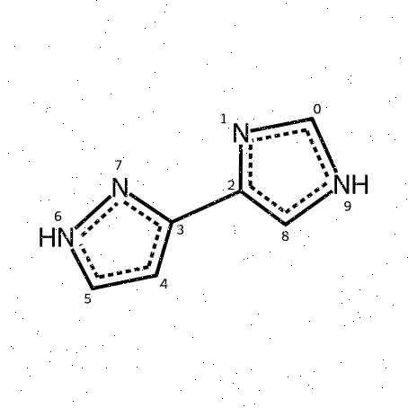 c1nc(-c2cc[nH]n2)c[nH]1